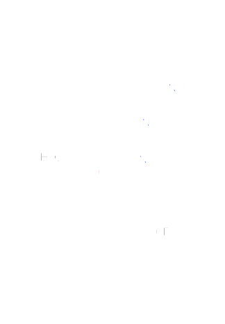 Cc1cccc2c1Oc1ccc(C(F)(F)F)cc1N=C2N1CCNCC1